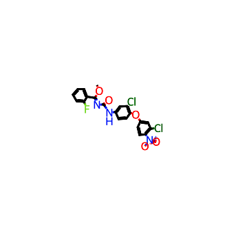 COC(=NC(=O)Nc1ccc(Oc2ccc([N+](=O)[O-])c(Cl)c2)c(Cl)c1)c1ccccc1F